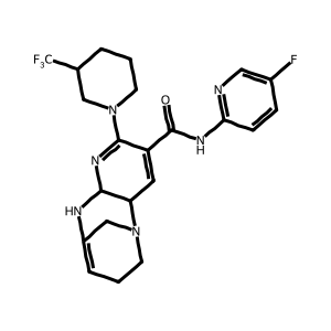 O=C(Nc1ccc(F)cn1)C1=CC2C(N=C1N1CCCC(C(F)(F)F)C1)NC1=CCCN2C1